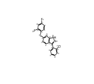 Fc1ccc(Sc2ncc3c(-c4ccccc4Cl)n[nH]c3n2)c(F)c1